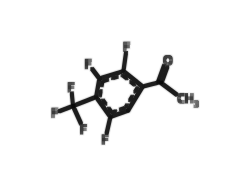 CC(=O)c1cc(F)c(C(F)(F)F)c(F)c1F